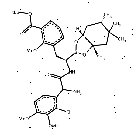 COc1ccc(C(N)C(=O)N[C@@H](Cc2cccc(C(=O)OC(C)(C)C)c2OC)B2O[C@@H]3C[C@H](C)C(C)(C)C[C@]3(C)O2)c(Cl)c1OC